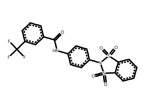 O=C(Nc1ccc(N2S(=O)(=O)c3ccccc3S2(=O)=O)cc1)c1cccc(C(F)(F)F)c1